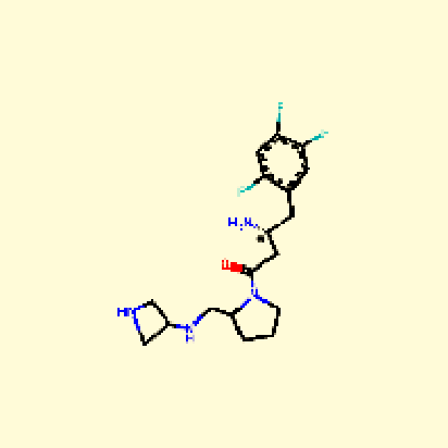 N[C@@H](CC(=O)N1CCCC1CNC1CNC1)Cc1cc(F)c(F)cc1F